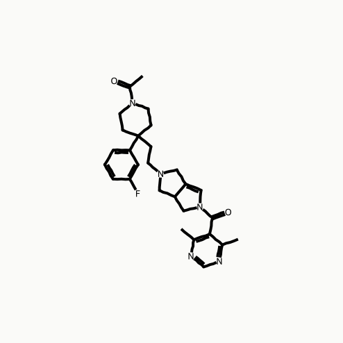 CC(=O)N1CCC(CCN2CC3=CN(C(=O)c4c(C)ncnc4C)CC3C2)(c2cccc(F)c2)CC1